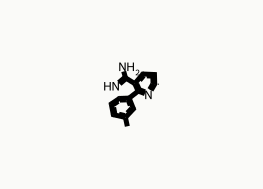 Cc1cccc(-c2n[c]ccc2C(=N)N)c1